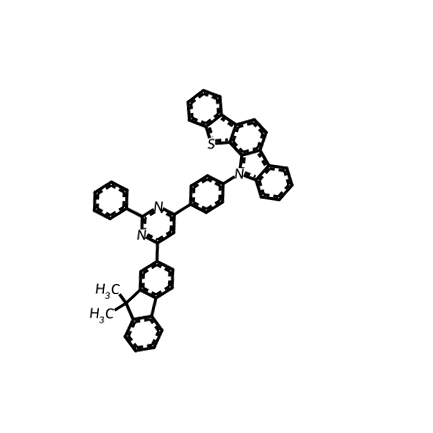 CC1(C)c2ccccc2-c2ccc(-c3cc(-c4ccc(-n5c6ccccc6c6ccc7c8ccccc8sc7c65)cc4)nc(-c4ccccc4)n3)cc21